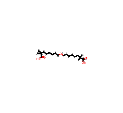 CC(C)(CCCCCCOCCCCCCC1(C(=O)O)CC1)C(=O)O